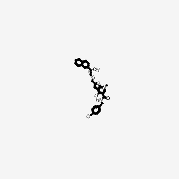 Cn1cc(C(=O)NCc2ccc(Cl)cc2)c(=O)c2cc(COC[C@@H](O)c3ccc4ccccc4c3)sc21